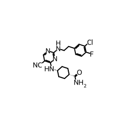 N#Cc1cnc(NCCc2ccc(F)c(Cl)c2)nc1N[C@H]1CC[C@@H](C(N)=O)CC1